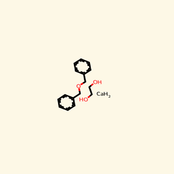 OCCO.[CaH2].c1ccc(COCc2ccccc2)cc1